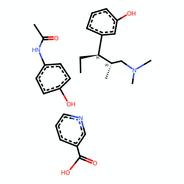 CC(=O)Nc1ccc(O)cc1.CC[C@@H](c1cccc(O)c1)[C@@H](C)CN(C)C.O=C(O)c1cccnc1